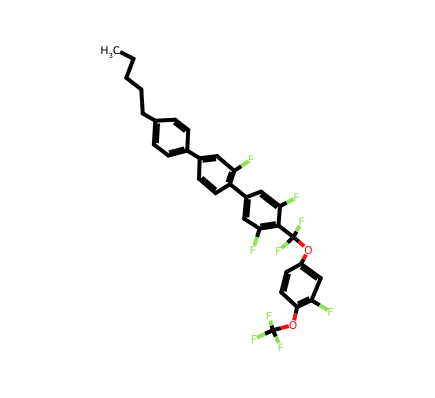 CCCCCc1ccc(-c2ccc(-c3cc(F)c(C(F)(F)Oc4ccc(OC(F)(F)F)c(F)c4)c(F)c3)c(F)c2)cc1